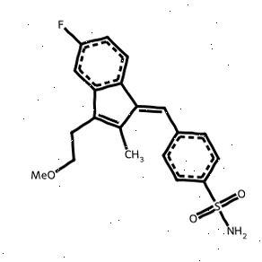 COCCC1=C(C)C(=Cc2ccc(S(N)(=O)=O)cc2)c2ccc(F)cc21